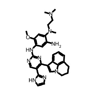 COc1cc(N(C)CCN(C)C)c(N)cc1Nc1ncc(-c2ncc[nH]2)c(-c2cn3c4c(cccc24)CCC3)n1